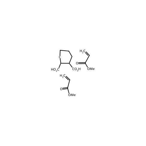 C=CC(=O)OC.C=CC(=O)OC.O=C(O)C1CCCCC1C(=O)O